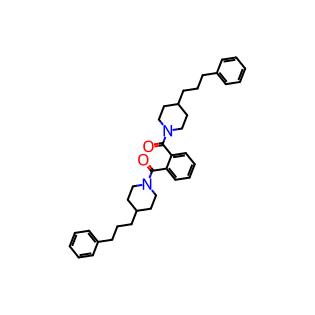 O=C(c1ccccc1C(=O)N1CCC(CCCc2ccccc2)CC1)N1CCC(CCCc2ccccc2)CC1